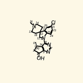 C[C@@H]1C[C@@H](O)c2ncnc(N3CC4(CCN(C)CC4)c4cc(Cl)ccc43)c21